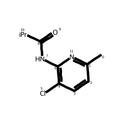 Cc1ccc(Cl)c(NC(=O)C(C)C)n1